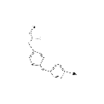 CC(C)(C)c1ccc(Oc2ccc(OC(=O)NO)cn2)cc1